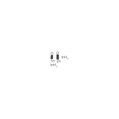 [InH3].[InH3].[O]=[Sn].[O]=[Zn]